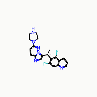 C[C@@H](c1c(F)cc2ncccc2c1F)c1cnc2ccc(N3CCNCC3)nn12